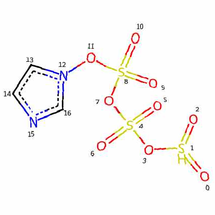 O=[SH](=O)OS(=O)(=O)OS(=O)(=O)On1ccnc1